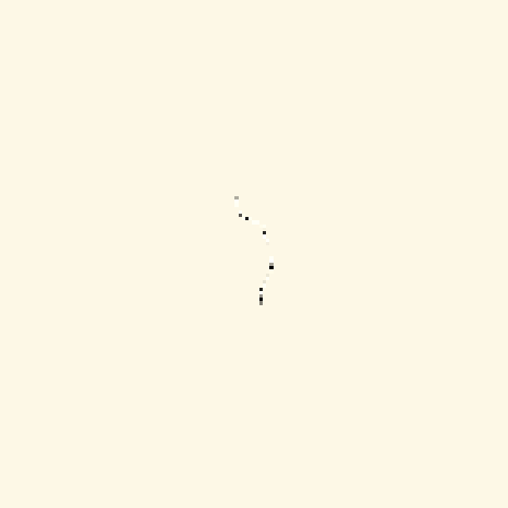 CC[CH2][Ga+][CH2]CC.[Cl-]